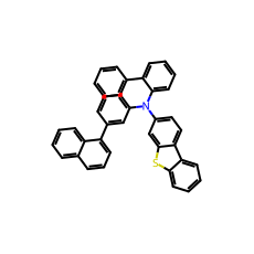 c1ccc(-c2ccccc2N(c2cccc(-c3cccc4ccccc34)c2)c2ccc3c(c2)sc2ccccc23)cc1